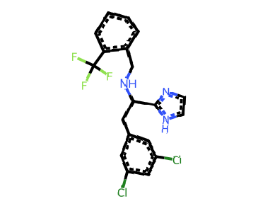 FC(F)(F)c1ccccc1CNC(Cc1cc(Cl)cc(Cl)c1)c1ncc[nH]1